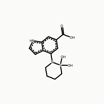 O=C(O)c1cc(N2CCCCS2(O)O)c2cc[nH]c2c1